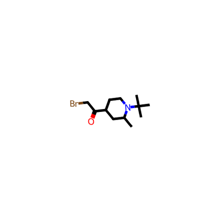 CC1CC(C(=O)CBr)CCN1C(C)(C)C